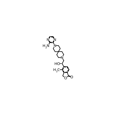 Cc1c([C@@H](O)CN2CCC3(CC2)CCN(c2nccnc2N)CC3)ccc2c1COC2=O